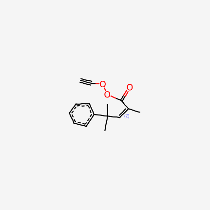 C#COOC(=O)/C(C)=C\C(C)(C)c1ccccc1